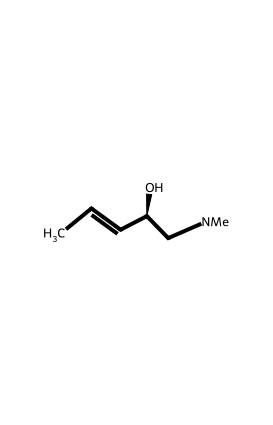 C/C=C/[C@@H](O)CNC